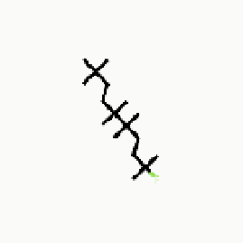 CC(C)(C)CCC(C)(C)C(C)(C)CCC(C)(C)F